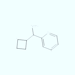 CNC(c1ccccn1)C1CCC1